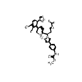 COC(=O)Nc1ccc(-c2cnn([C@H](CCOC(F)F)c3ccc(-c4c(-n5cnnn5)ccc(Cl)c4F)c[n+]3[O-])c2)cc1